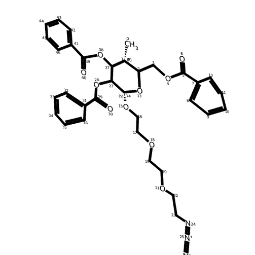 C[C@@H]1C(COC(=O)c2ccccc2)O[C@H](OCCOCCOCCN=[N+]=[N-])C(OC(=O)c2ccccc2)C1OC(=O)c1ccccc1